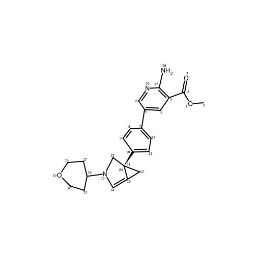 COC(=O)c1cc(-c2ccc([C@@]34CC3=CN(C3CCOCC3)C4)cc2)cnc1N